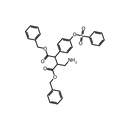 NCC(C(=O)OCc1ccccc1)C(C(=O)OCc1ccccc1)c1ccc(OS(=O)(=O)c2ccccc2)cc1